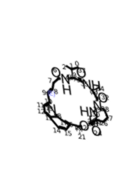 CC(C)[C@@H]1NC(=O)C/C=C/c2ccc3ccc(cc3n2)[C@@H](C)OC(=O)[C@@H]2CCCN(N2)C(=O)[C@H](C)NC1=O